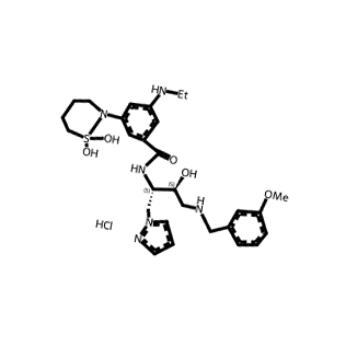 CCNc1cc(C(=O)N[C@@H](Cn2cccn2)[C@@H](O)CNCc2cccc(OC)c2)cc(N2CCCCS2(O)O)c1.Cl